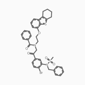 CS(=O)(=O)N(Cc1ccccc1)c1cc(C(=O)CN(CCOc2cccc3c4c(sc23)CCCC4)C(=O)c2ccccc2)ccc1Br